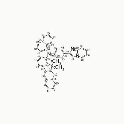 CC1(C)C2=C(C=C3C=CC=CC3C2)c2ccc3c4ccc5ccccc5c4n(-c4ccc(-c5cn6ccccc6n5)cc4)c3c21